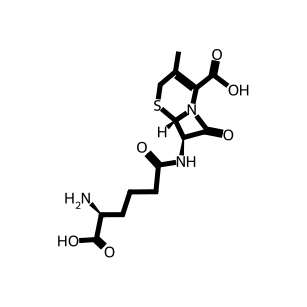 CC1=C(C(=O)O)N2C(=O)[C@@H](NC(=O)CCC[C@H](N)C(=O)O)[C@@H]2SC1